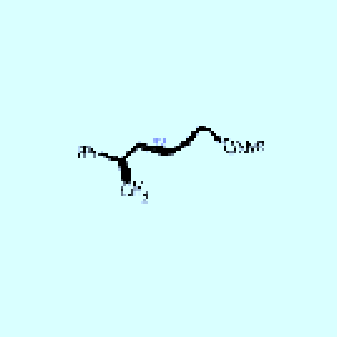 C=C(/C=C/COC)C(C)C